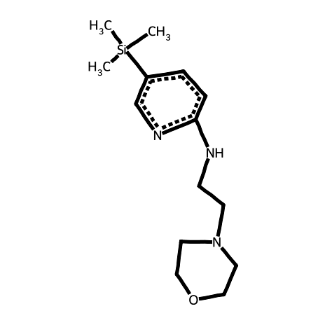 C[Si](C)(C)c1ccc(NCCN2CCOCC2)nc1